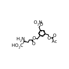 CC(=O)C(=O)OCc1cc(COC(=O)CC[C@H](N)C(=O)O)cc(CO[N+](=O)[O-])c1